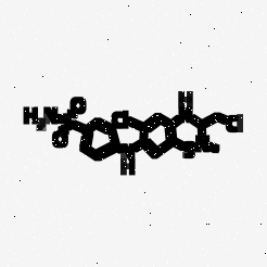 CN1Sc2cc(Nc3ccc(S(N)(=O)=O)cc3)c(Cl)cc2NC1CCl